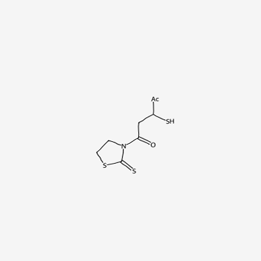 CC(=O)C(S)CC(=O)N1CCSC1=S